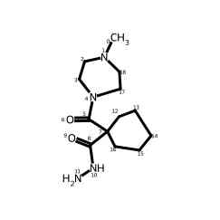 CN1CCN(C(=O)C2(C(=O)NN)CCCCC2)CC1